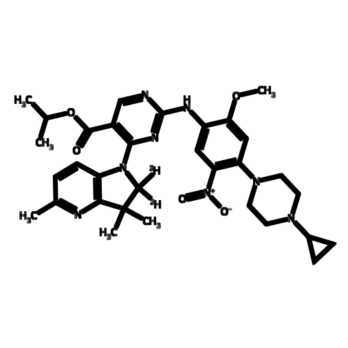 [2H]C1([2H])N(c2nc(Nc3cc([N+](=O)[O-])c(N4CCN(C5CC5)CC4)cc3OC)ncc2C(=O)OC(C)C)c2ccc(C)nc2C1(C)C